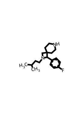 CC(C)CCN1CC2(CCNCC2)C1c1ccc(F)cc1